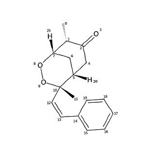 C[C@@H]1C(=O)C[C@H]2C[C@@H]1OO[C@@]2(C)/C=C\c1ccccc1